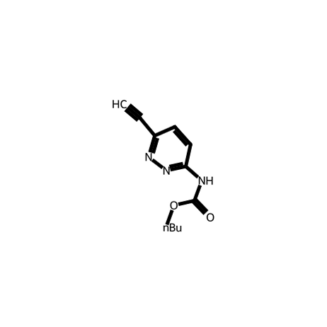 C#Cc1ccc(NC(=O)OCCCC)nn1